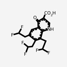 O=C(O)c1c[nH]c2c(CC(F)F)c(CC(F)F)c(CC(F)F)cc2c1=O